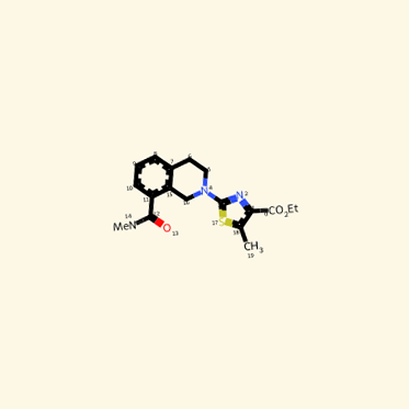 CCOC(=O)c1nc(N2CCc3cccc(C(=O)NC)c3C2)sc1C